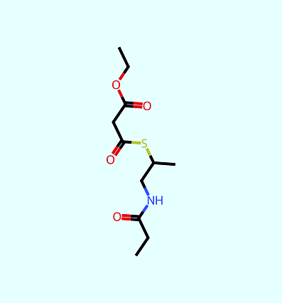 CCOC(=O)CC(=O)SC(C)CNC(=O)CC